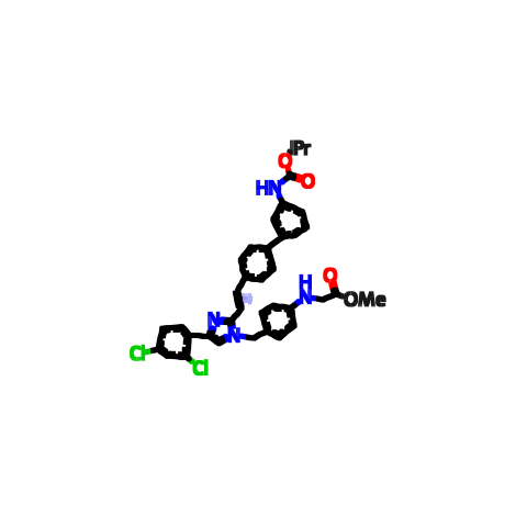 COC(=O)CNc1ccc(Cn2cc(-c3ccc(Cl)cc3Cl)nc2/C=C/c2ccc(-c3cccc(NC(=O)OC(C)C)c3)cc2)cc1